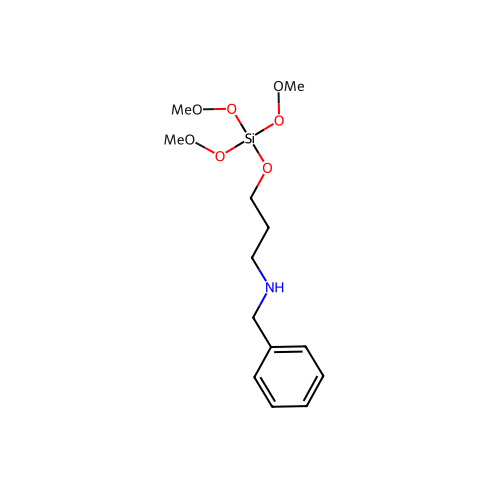 COO[Si](OCCCNCc1ccccc1)(OOC)OOC